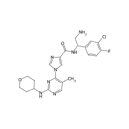 Cc1cnc(NC2CCOCC2)nc1-n1cnc(C(=O)NC(CN)c2ccc(F)c(Cl)c2)c1